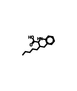 CCCCCC1Cc2ccccc2NC1C(=O)O